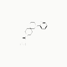 CC(C)(C)OC(=O)N1CCC2(CC1)CN(c1ccccn1)CCO2